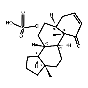 C[C@@]12CCC[C@H]1[C@@H]1CC[C@H]3CC=CC(=O)[C@]3(C)[C@H]1CC2.O=S(=O)(O)O